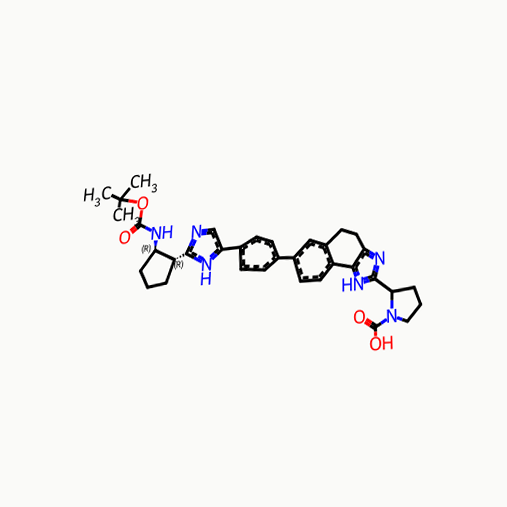 CC(C)(C)OC(=O)N[C@@H]1CCC[C@H]1c1ncc(-c2ccc(-c3ccc4c(c3)CCc3nc(C5CCCN5C(=O)O)[nH]c3-4)cc2)[nH]1